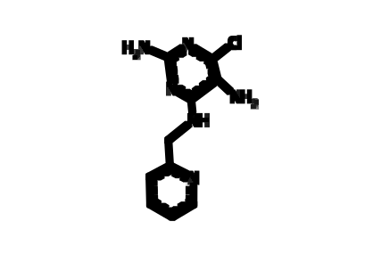 Nc1nc(Cl)c(N)c(NCc2ccccn2)n1